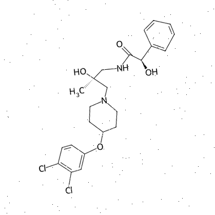 C[C@](O)(CNC(=O)[C@H](O)c1ccccc1)CN1CCC(Oc2ccc(Cl)c(Cl)c2)CC1